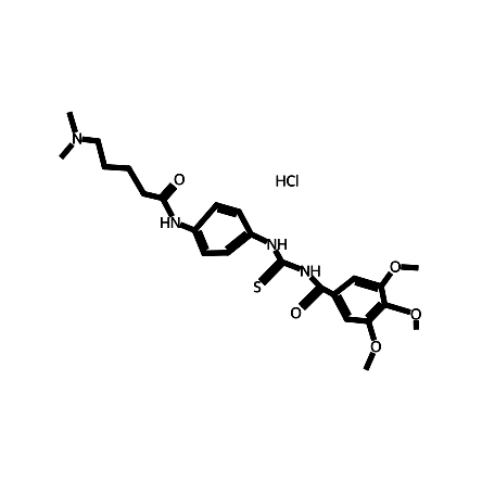 COc1cc(C(=O)NC(=S)Nc2ccc(NC(=O)CCCCN(C)C)cc2)cc(OC)c1OC.Cl